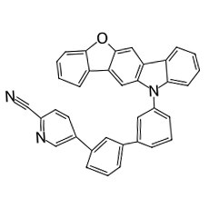 N#Cc1ccc(-c2cccc(-c3cccc(-n4c5ccccc5c5cc6oc7ccccc7c6cc54)c3)c2)cn1